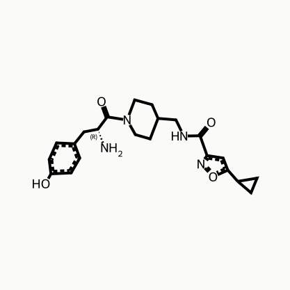 N[C@H](Cc1ccc(O)cc1)C(=O)N1CCC(CNC(=O)c2cc(C3CC3)on2)CC1